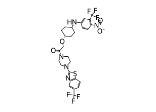 O=C(CO[C@H]1CC[C@H](Nc2ccc([N+](=O)[O-])c(C(F)(F)F)c2)CC1)N1CCN(c2nc3cc(C(F)(F)F)ccc3s2)CC1